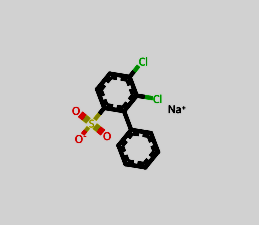 O=S(=O)([O-])c1ccc(Cl)c(Cl)c1-c1ccccc1.[Na+]